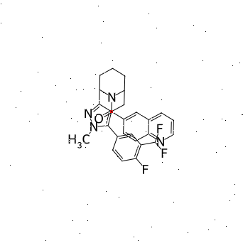 Cn1nc2c(c1-c1ccc(F)c(C(F)F)c1)CC1CCCC2N1C(=O)c1ccc2ncccc2c1